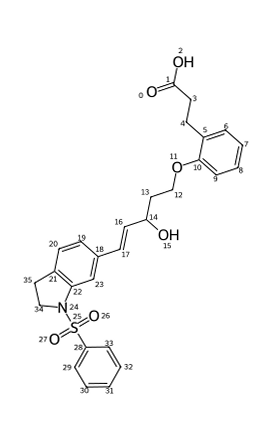 O=C(O)CCc1ccccc1OCCC(O)/C=C/c1ccc2c(c1)N(S(=O)(=O)c1ccccc1)CC2